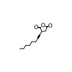 CCCCCCC#CC1CC(=O)OC1=O